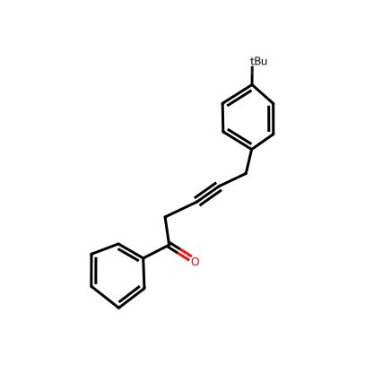 CC(C)(C)c1ccc(CC#CCC(=O)c2ccccc2)cc1